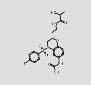 CC(O)C(=O)NCC[C@H]1CN(S(=O)(=O)c2ccc(F)cc2)c2cc(NC(=O)O)ccc2O1